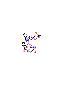 CC(C)(C)OC(=O)N1CCC(OC2(CNc3cccc4c3C(=O)N(C3CCC(=O)NC3=O)C4=O)CCCCC2)CC1